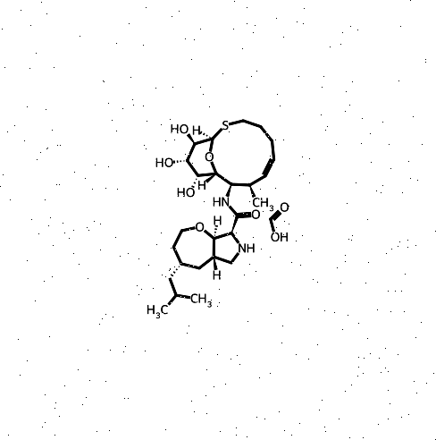 CC(C)C[C@@H]1CCO[C@@H]2[C@H](CN[C@@H]2C(=O)N[C@H]2[C@H]3O[C@H](SCCC/C=C\[C@H]2C)[C@H](O)[C@@H](O)[C@H]3O)C1.O=CO